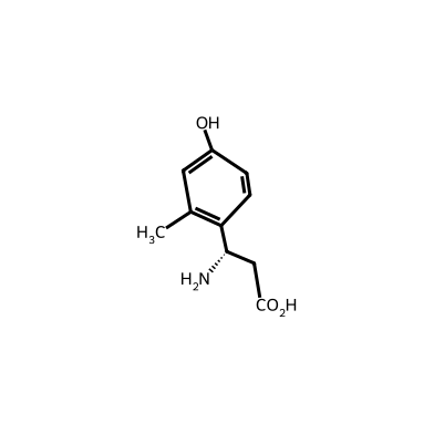 Cc1cc(O)ccc1[C@@H](N)CC(=O)O